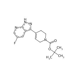 CC(C)(C)OC(=O)N1CC=C(c2n[nH]c3ncc(F)cc23)CC1